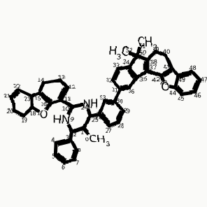 CC1C(c2ccccc2)NC(C2=CCCC3=C2OC2CCC=CC32)NC1c1cccc(-c2ccc3c(c2)C2=C(CCc4c2oc2ccccc42)C3(C)C)c1